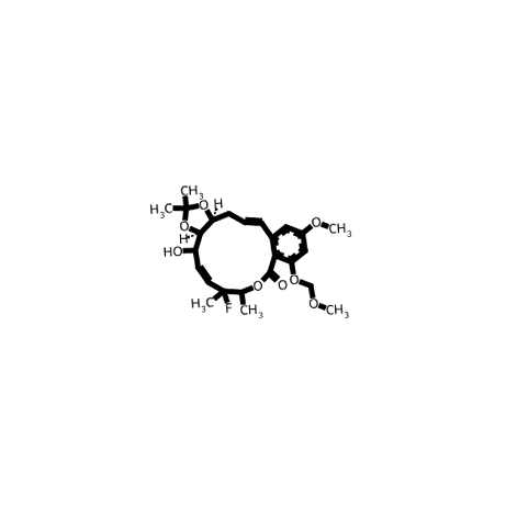 COCOc1cc(OC)cc2c1C(=O)OC(C)C(C)(F)/C=C\C(O)[C@H]1OC(C)(C)O[C@H]1C/C=C/2